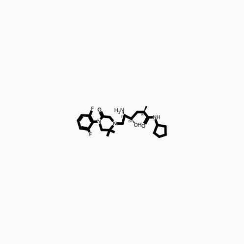 C[C@H](C[C@H](O)[C@@H](N)CN1CC(=O)N(c2c(F)cccc2F)CC1(C)C)C(=O)NC1CCCC1